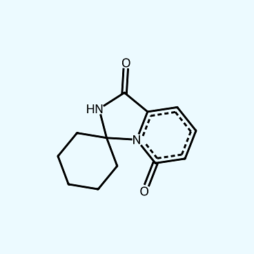 O=C1NC2(CCCCC2)n2c1cccc2=O